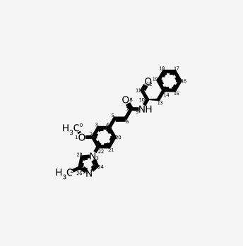 COc1cc(/C=C/C(=O)N[C@@H](C=O)Cc2ccccc2)ccc1-n1cnc(C)c1